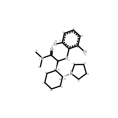 CN(C)C(=O)C(Oc1c(Cl)cccc1Cl)[C@@H]1CCCC[C@H]1N1CCCC1